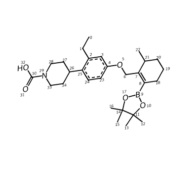 CCc1cc(OCC2=C(B3OC(C)(C)C(C)(C)O3)CCCC2C)ccc1C1CCN(C(=O)O)CC1